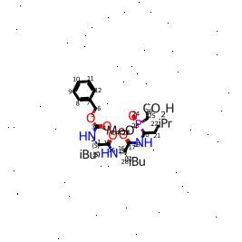 CC[C@H](C)[C@H](NC(=O)OCc1ccccc1)C(=O)N[C@H](C(=O)NC(CC(C)C)P(=O)(CC(=O)O)OC)[C@@H](C)CC